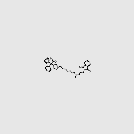 CN(CCCCCCCN1CCC(C(C(N)=O)(c2ccccc2)C2C=CC=C2)C1)CCCN1C(=O)c2ccccc2C1=O